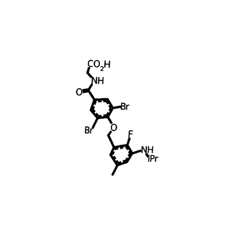 Cc1cc(COc2c(Br)cc(C(=O)NCC(=O)O)cc2Br)c(F)c(NC(C)C)c1